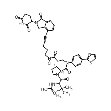 CN(CCCC#Cc1cccc2c1CN(C1CCC(=O)NC1=O)C2=O)C(=O)CCN(C(=O)[C@@H]1CCCN1C(=O)C(NC(=O)O)C(C)(C)C)c1ccc(-c2nccs2)cc1